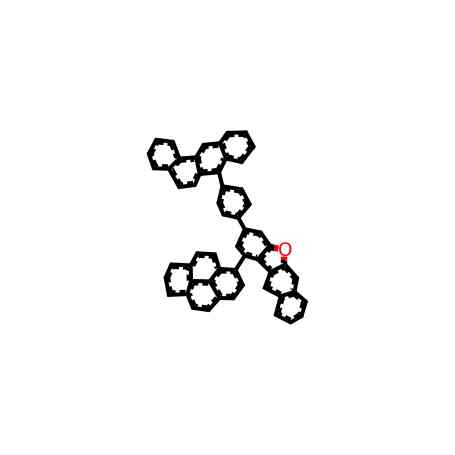 c1ccc2cc3c(cc2c1)oc1cc(-c2ccc(-c4c5ccccc5cc5c4ccc4ccccc45)cc2)cc(-c2ccc4ccc5cccc6ccc2c4c56)c13